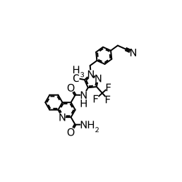 Cc1c(NC(=O)c2cc(C(N)=O)nc3ccccc23)c(C(F)(F)F)nn1Cc1ccc(CC#N)cc1